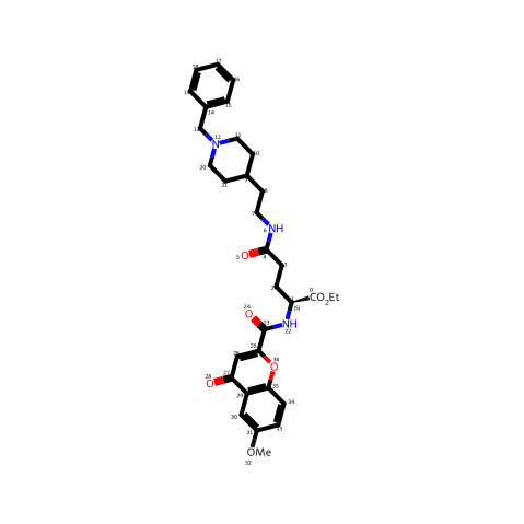 CCOC(=O)[C@H](CCC(=O)NCCC1CCN(Cc2ccccc2)CC1)NC(=O)c1cc(=O)c2cc(OC)ccc2o1